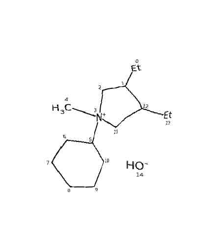 CCC1C[N+](C)(C2CCCCC2)CC1CC.[OH-]